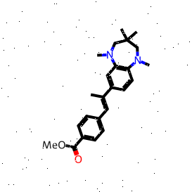 COC(=O)c1ccc(C=C(C)c2ccc3c(c2)N(C)CC(C)(C)CN3C)cc1